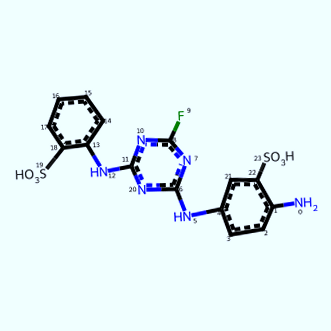 Nc1ccc(Nc2nc(F)nc(Nc3ccccc3S(=O)(=O)O)n2)cc1S(=O)(=O)O